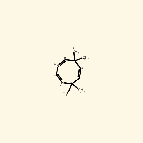 CC1(C)/C=C\C(C)(C)/N=C\N=C/1